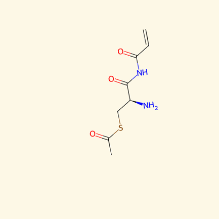 C=CC(=O)NC(=O)[C@@H](N)CSC(C)=O